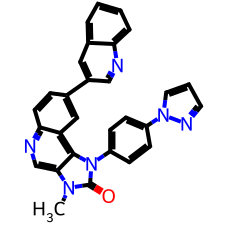 Cn1c(=O)n(-c2ccc(-n3cccn3)cc2)c2c3cc(-c4cnc5ccccc5c4)ccc3ncc21